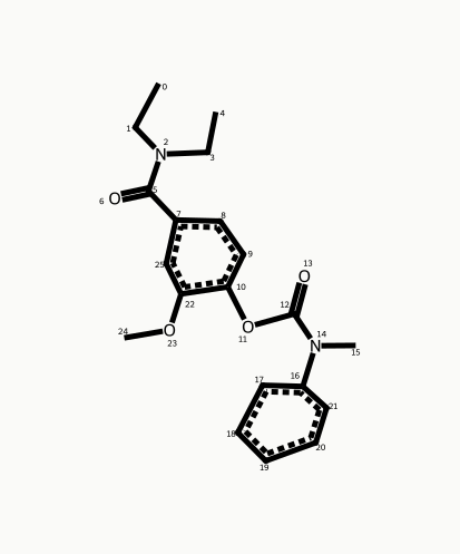 CCN(CC)C(=O)c1ccc(OC(=O)N(C)c2ccccc2)c(OC)c1